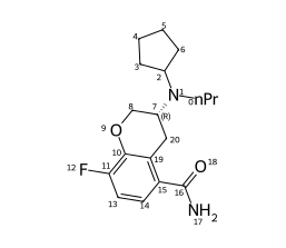 CCCN(C1CCCC1)[C@H]1COc2c(F)ccc(C(N)=O)c2C1